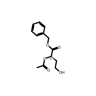 CC(=O)O[C@H](CCO)C(=O)OCc1ccccc1